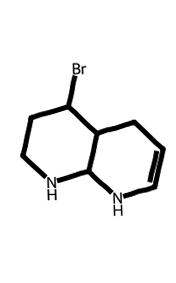 BrC1CCNC2NC=CCC12